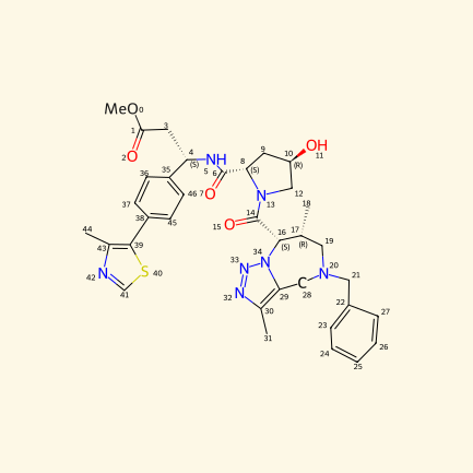 COC(=O)C[C@H](NC(=O)[C@@H]1C[C@@H](O)CN1C(=O)[C@@H]1[C@H](C)CN(Cc2ccccc2)Cc2c(C)nnn21)c1ccc(-c2scnc2C)cc1